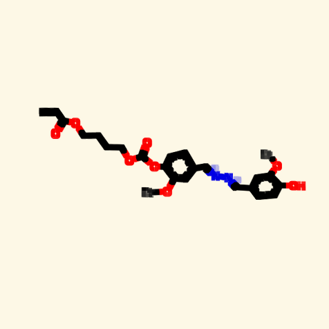 C=CC(=O)OCCCCOC(=O)Oc1ccc(/C=N/N=C/c2ccc(O)c(OCC)c2)cc1OCC